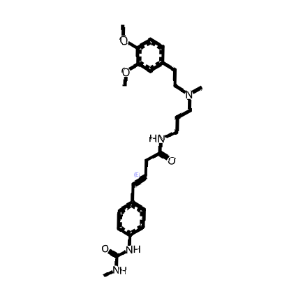 CNC(=O)Nc1ccc(/C=C/CC(=O)NCCCN(C)CCc2ccc(OC)c(OC)c2)cc1